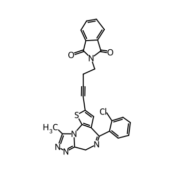 Cc1nnc2n1-c1sc(C#CCCN3C(=O)c4ccccc4C3=O)cc1C(c1ccccc1Cl)=NC2